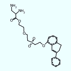 NCC(N)C(=O)OCCOCCS(=O)(=O)CCOc1cccc2c1C=C(c1ccccc1)CC2